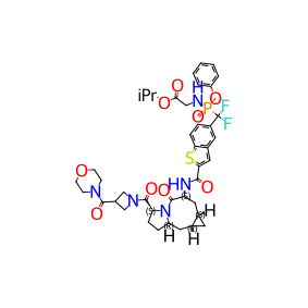 CC(C)OC(=O)CNP(=O)(Oc1ccccc1)C(F)(F)c1ccc2sc(C(=O)N[C@H]3C[C@@H]4C[C@@H]4C[C@H]4CC[C@@H](C(=O)N5CC(C(=O)N6CCOCC6)C5)N4C3=O)cc2c1